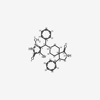 Cn1[nH]c(=O)c(Br)c1C(c1ccccc1)N1CCC2(CC1)C(=O)NCC2c1ccccc1